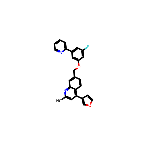 N#Cc1cc(-c2ccoc2)c2ccc(COc3cc(F)cc(-c4ccccn4)c3)cc2n1